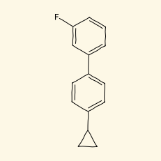 Fc1cccc(-c2ccc(C3CC3)cc2)c1